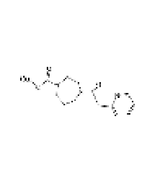 CC(C)(C)OC(=O)N1CCCN(C(=O)Cc2ccccn2)CC1